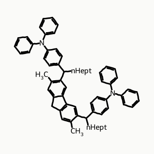 CCCCCCCC(c1ccc(N(c2ccccc2)c2ccccc2)cc1)c1cc2c(cc1C)Cc1cc(C)c(C(CCCCCCC)c3ccc(N(c4ccccc4)c4ccccc4)cc3)cc1-2